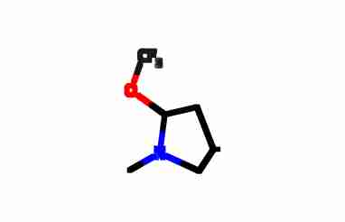 CN1C[CH]CC1OC(F)(F)F